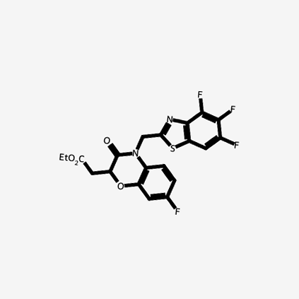 CCOC(=O)CC1Oc2cc(F)ccc2N(Cc2nc3c(F)c(F)c(F)cc3s2)C1=O